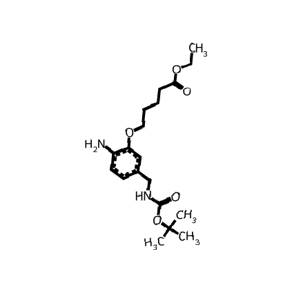 CCOC(=O)CCCCOc1cc(CNC(=O)OC(C)(C)C)ccc1N